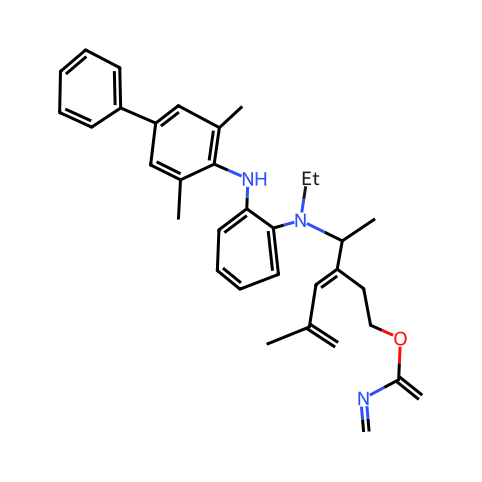 C=NC(=C)OCC/C(=C\C(=C)C)C(C)N(CC)c1ccccc1Nc1c(C)cc(-c2ccccc2)cc1C